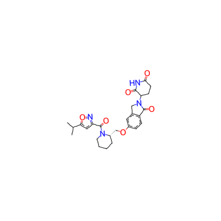 CC(C)c1cc(C(=O)N2CCCC[C@H]2COc2ccc3c(c2)CN(C2CCC(=O)NC2=O)C3=O)no1